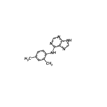 Cc1ccc(Nc2ncnc3[nH]cnc23)c(C)c1